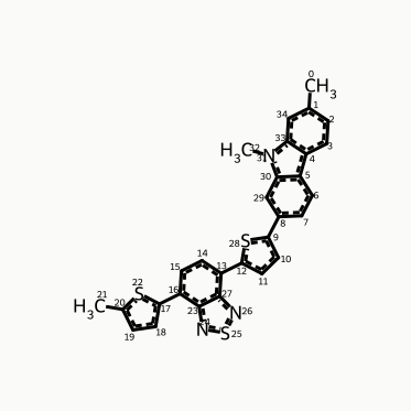 Cc1ccc2c3ccc(-c4ccc(-c5ccc(-c6ccc(C)s6)c6nsnc56)s4)cc3n(C)c2c1